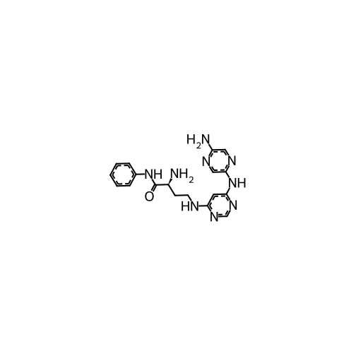 Nc1cnc(Nc2cc(NCC[C@H](N)C(=O)Nc3ccccc3)ncn2)cn1